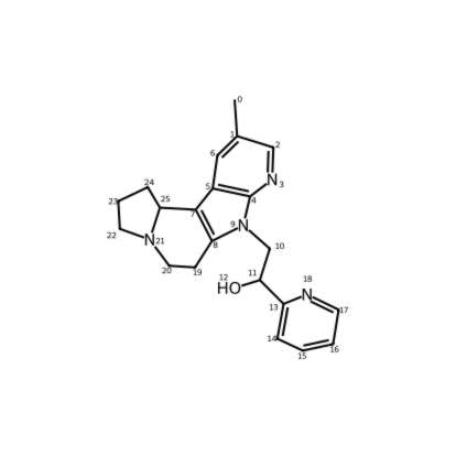 Cc1cnc2c(c1)c1c(n2CC(O)c2ccccn2)CCN2CCCC12